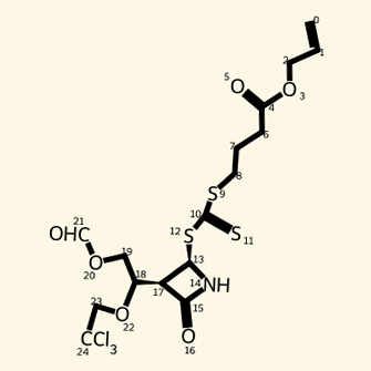 C=CCOC(=O)CCCSC(=S)S[C@H]1NC(=O)[C@H]1C(COC=O)OCC(Cl)(Cl)Cl